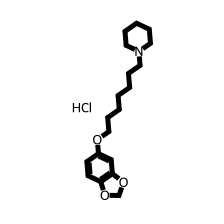 Cl.c1cc2c(cc1OCCCCCCCN1CCCCC1)OCO2